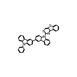 C1=CC2C(C=C1c1ccc3c(c1)c1ccccc1n3-c1ccccc1)c1ccccc1N2c1ncc2sc3ccccc3c2n1